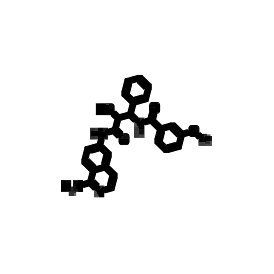 CCOc1cccc(C(=O)NC(c2ccccc2)C(O)C(=O)Nc2ccc3c(N)nccc3c2)c1